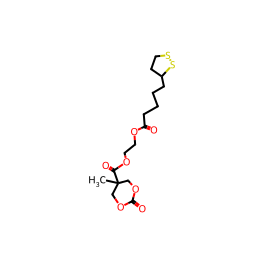 CC1(C(=O)OCCOC(=O)CCCCC2CCSS2)COC(=O)OC1